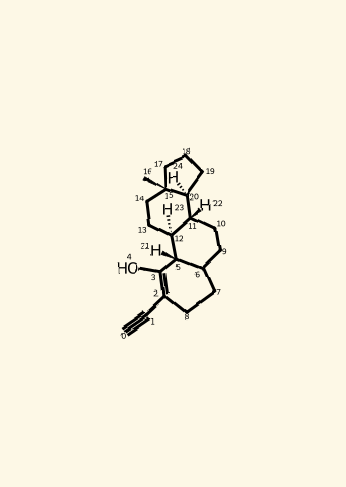 C#CC1=C(O)[C@H]2C(CC1)CC[C@@H]1[C@@H]2CC[C@]2(C)CCC[C@@H]12